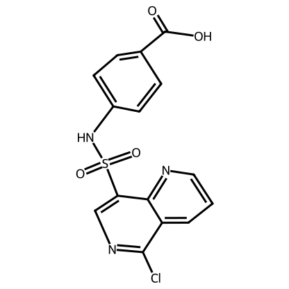 O=C(O)c1ccc(NS(=O)(=O)c2cnc(Cl)c3cccnc23)cc1